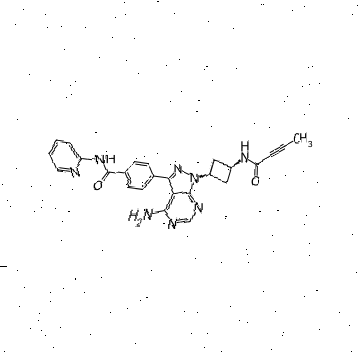 CC#CC(=O)N[C@H]1C[C@@H](n2nc(-c3ccc(C(=O)Nc4ccccn4)cc3)c3c(N)ncnc32)C1